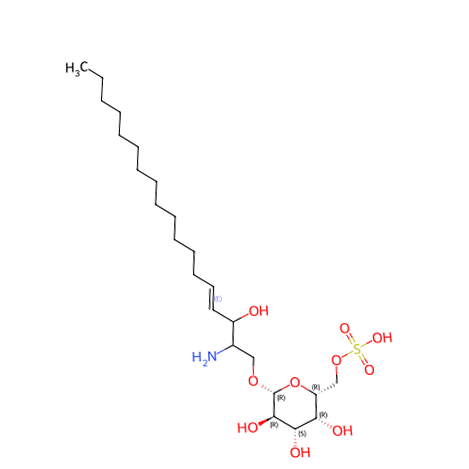 CCCCCCCCCCCCC/C=C/C(O)C(N)CO[C@@H]1O[C@H](COS(=O)(=O)O)[C@H](O)[C@H](O)[C@H]1O